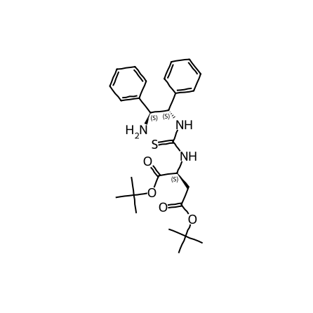 CC(C)(C)OC(=O)C[C@H](NC(=S)N[C@@H](c1ccccc1)[C@@H](N)c1ccccc1)C(=O)OC(C)(C)C